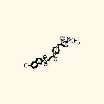 CCn1c(CN2CCN(C(=O)CCS(=O)(=O)c3ccc4cc(Cl)ccc4c3)CC2)csc1=NC